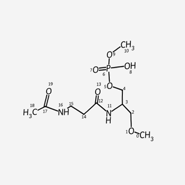 COCC(COP(=O)(O)OC)NC(=O)CCNC(C)=O